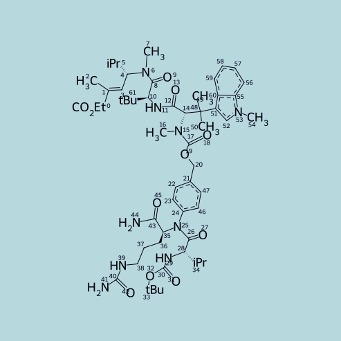 CCOC(=O)/C(C)=C/[C@H](C(C)C)N(C)C(=O)[C@@H](NC(=O)[C@@H](N(C)C(=O)OCc1ccc(N(C(=O)[C@@H](NC(=O)OC(C)(C)C)C(C)C)[C@@H](CCCNC(N)=O)C(N)=O)cc1)C(C)(C)c1cn(C)c2ccccc12)C(C)(C)C